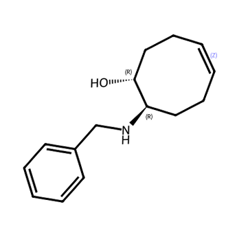 O[C@@H]1CC/C=C\CC[C@H]1NCc1ccccc1